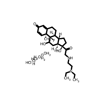 CCN(CC)CCNCC(=O)[C@@]1(O)CC[C@H]2[C@@H]3CCC4=CC(=O)C=C[C@]4(C)[C@@]3(F)C(O)C[C@@]21C.Cl.Cl.Cl.O.O.O